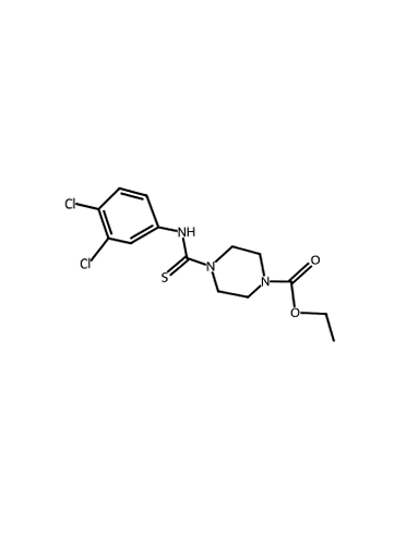 CCOC(=O)N1CCN(C(=S)Nc2ccc(Cl)c(Cl)c2)CC1